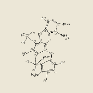 Nc1cc(Oc2c(F)c(Oc3cc(N)c(F)cc3F)c(C(F)(F)F)c(F)c2C(F)(F)F)c(F)cc1F